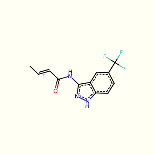 C/C=C/C(=O)Nc1n[nH]c2ccc(C(F)(F)F)cc12